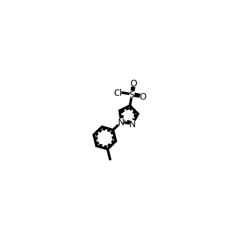 Cc1cccc(-n2cc(S(=O)(=O)Cl)cn2)c1